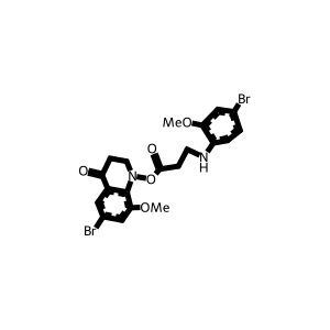 COc1cc(Br)ccc1NCCC(=O)ON1CCC(=O)c2cc(Br)cc(OC)c21